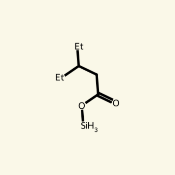 CCC(CC)CC(=O)O[SiH3]